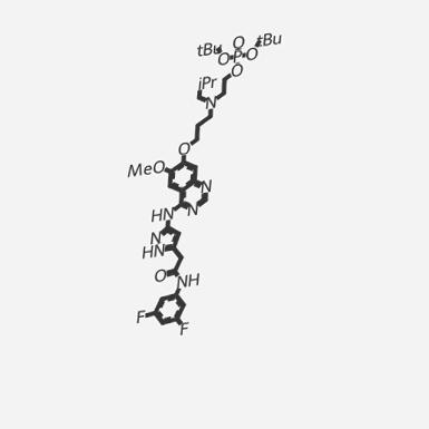 COc1cc2c(Nc3cc(CC(=O)Nc4cc(F)cc(F)c4)[nH]n3)ncnc2cc1OCCCN(CCOP(=O)(OC(C)(C)C)OC(C)(C)C)CC(C)C